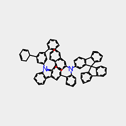 C1=CCC(c2cc(-c3ccccc3)cc(-n3c4ccccc4c4cc(-c5ccccc5N(c5ccc6c(c5)C5(c7ccccc7-c7ccccc75)c5ccccc5-6)c5ccc6ccccc6c5)ccc43)c2)C=C1